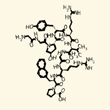 CC(C)[C@@H](NC(=O)[C@H](CCCNC(=N)N)NC(=O)[C@@H](Cc1ccc(O)cc1)NC(=O)[C@@H]1C[C@@H](O)CN1C(=O)CNC(=O)CN)C(=O)NCC(=O)N[C@@H](CCCNC(=N)N)C(=O)N[C@H](Cc1ccc2ccccc2c1)C(=O)N1CCC[C@H]1C(=O)O